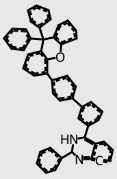 c1ccc(C2N=c3ccccc3=C(c3cccc(-c4ccc(-c5cccc6c5Oc5ccccc5C6(c5ccccc5)c5ccccc5)cc4)c3)N2)cc1